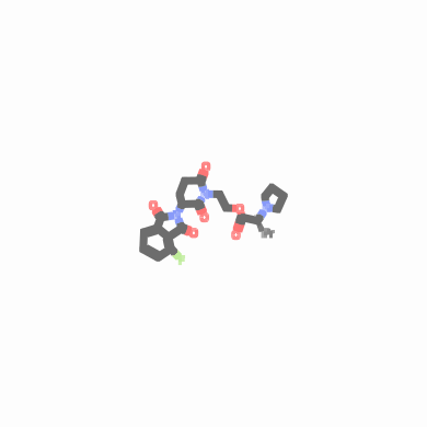 CC(C)[C@@H](C(=O)OCCN1C(=O)CCC(N2C(=O)c3cccc(F)c3C2=O)C1=O)N1CCCC1